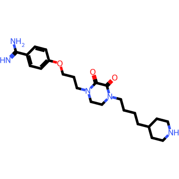 N=C(N)c1ccc(OCCCN2CCN(CCCCC3CCNCC3)C(=O)C2=O)cc1